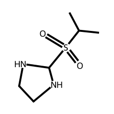 CC(C)S(=O)(=O)C1NCCN1